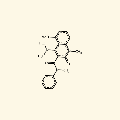 COc1cccc2c1c(N(C)C)c(C(=O)N(C)c1ccccc1)c(=O)n2C